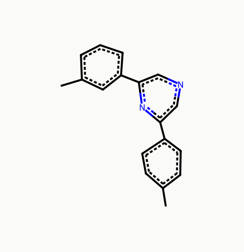 Cc1ccc(-c2cncc(-c3cccc(C)c3)n2)cc1